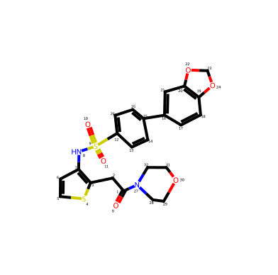 O=C(Cc1sccc1NS(=O)(=O)c1ccc(-c2ccc3c(c2)OCO3)cc1)N1CCOCC1